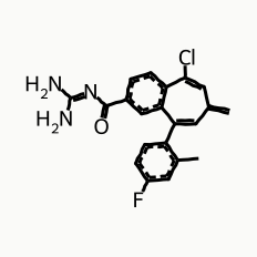 C=C1C=C(Cl)c2ccc(C(=O)N=C(N)N)cc2C(c2ccc(F)cc2C)=C1